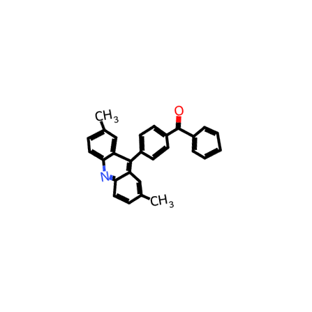 Cc1ccc2nc3ccc(C)cc3c(-c3ccc(C(=O)c4ccccc4)cc3)c2c1